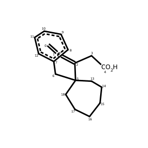 C=C=C(CC(=O)O)C1(Cc2ccccc2)CCCCCC1